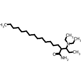 CCCCCCCCCCCCCCC(C(N)=O)C(CC)N(CC)CC